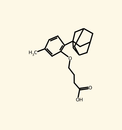 Cc1ccc(C23CC4CC(CC(C4)C2)C3)c(OCCCC(=O)O)c1